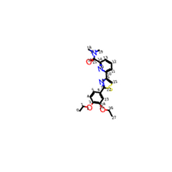 CCOc1ccc(-c2nc(-c3cccc(C(=O)N(C)C)n3)cs2)cc1OCC